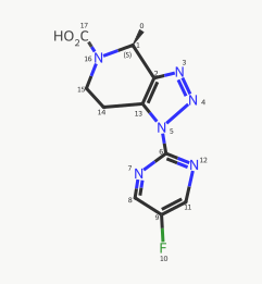 C[C@H]1c2nnn(-c3ncc(F)cn3)c2CCN1C(=O)O